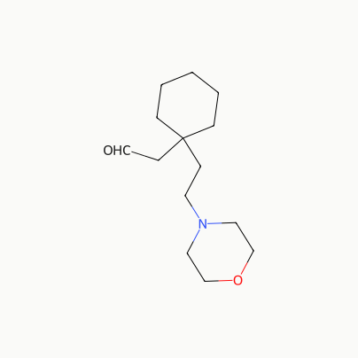 O=CCC1(CCN2CCOCC2)CCCCC1